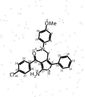 COc1ccc(N(C)Cc2c(-c3ccccc3)sc(N)c2C(=O)c2ccc(Cl)cc2)cc1